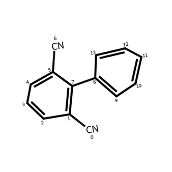 N#Cc1cccc(C#N)c1-c1ccccc1